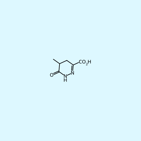 CC1CC(C(=O)O)=NNC1=O